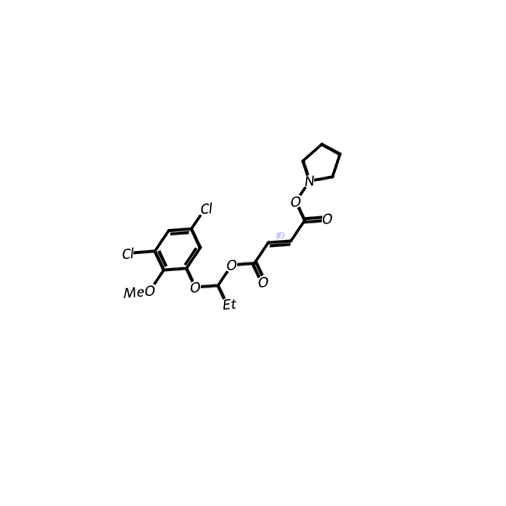 CCC(OC(=O)/C=C/C(=O)ON1CCCC1)Oc1cc(Cl)cc(Cl)c1OC